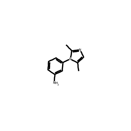 Cc1cnc(C)n1-c1cccc(N)c1